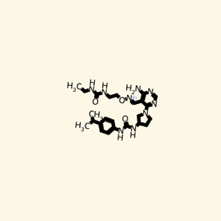 CCNC(=O)NCCO/N=C/c1c(N)ncnc1N1CCC(NC(=O)Nc2ccc(C(C)C)cc2)C1